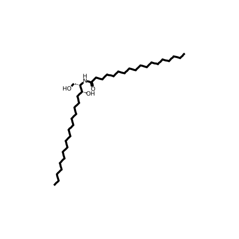 CCCCCCCCCCCCCCCCCC(=O)N[C@@H](CO)[C@H](O)CCCCCCCCCCCCCCCCC